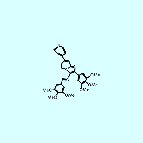 COc1cc(/C=N/c2c(-c3cc(OC)c(OC)c(OC)c3)nc3cc(-c4ccncc4)ccn23)cc(OC)c1OC